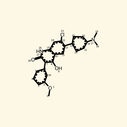 COc1cccc(-c2c(O)c3cc(-c4ccc(N(C)C)cc4)c(Cl)cc3[nH]c2=O)c1